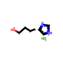 CCCCO.Cl.c1c[nH]cn1